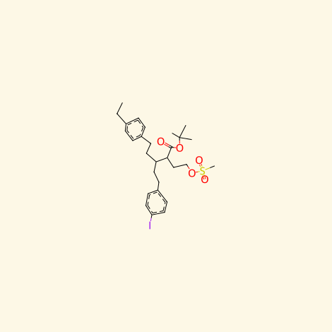 CCc1ccc(CCC(CCc2ccc(I)cc2)C(CCOS(C)(=O)=O)C(=O)OC(C)(C)C)cc1